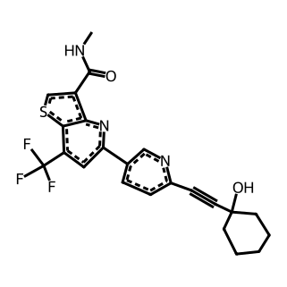 CNC(=O)c1csc2c(C(F)(F)F)cc(-c3ccc(C#CC4(O)CCCCC4)nc3)nc12